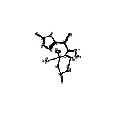 Cc1ccc(C(C)c2n[nH]c3c2C(O)(C(F)(F)F)CC(=O)N3)o1